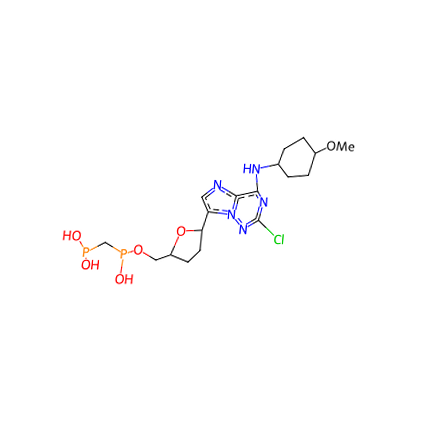 COC1CCC(Nc2nc(Cl)nn3c(C4CCC(COP(O)CP(O)O)O4)cnc23)CC1